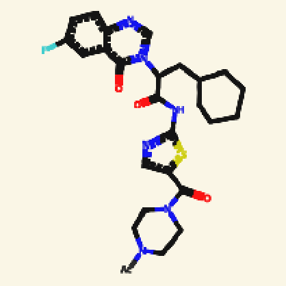 CC(=O)N1CCN(C(=O)c2cnc(NC(=O)C(CC3CCCCC3)n3cnc4ccc(F)cc4c3=O)s2)CC1